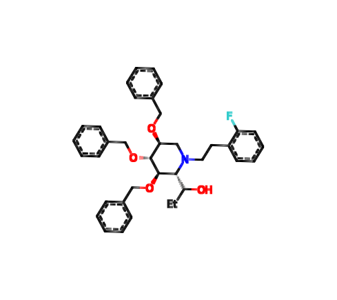 CCC(O)[C@@H]1[C@@H](OCc2ccccc2)[C@H](OCc2ccccc2)[C@@H](OCc2ccccc2)CN1CCc1ccccc1F